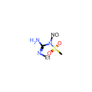 CCN=C(N)N(N=O)S(C)(=O)=O